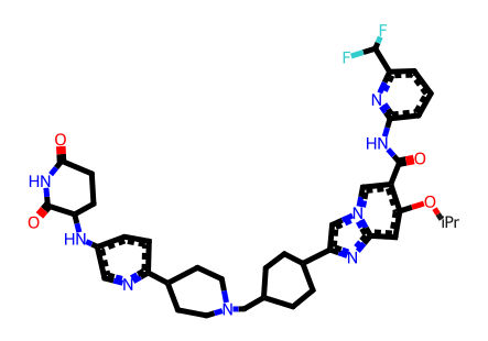 CC(C)Oc1cc2nc(C3CCC(CN4CCC(c5ccc(NC6CCC(=O)NC6=O)cn5)CC4)CC3)cn2cc1C(=O)Nc1cccc(C(F)F)n1